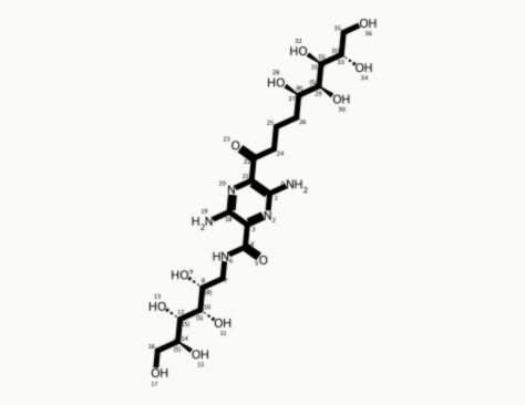 Nc1nc(C(=O)NC[C@@H](O)[C@H](O)[C@@H](O)[C@@H](O)CO)c(N)nc1C(=O)CCC[C@@H](O)[C@H](O)[C@@H](O)[C@@H](O)CO